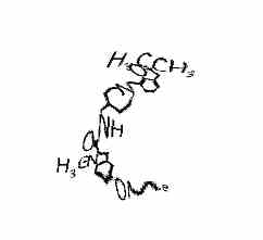 COc1ccc2c(c1)cc(C(=O)NCC1CCN(Cc3cccc4c3OC(C)(C)C4)CC1)n2C